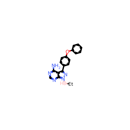 CCBn1nc(-c2ccc(Oc3ccccc3)cc2)c2c(N)ncnc21